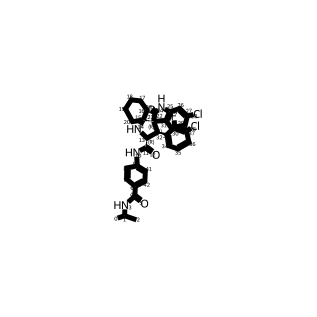 CC(C)NC(=O)c1ccc(NC(=O)[C@@H]2NC3(CCCCC3)[C@@]3(C(=O)Nc4cc(Cl)ccc43)[C@H]2c2cccc(Cl)c2F)cc1